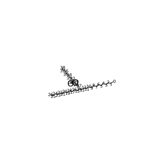 CCCCCCCCCCCCCCC(CCCCCCCCCCCC)CCOC(=O)CCCCCCC